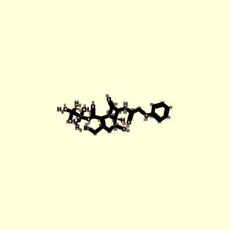 CC(C)(C)[Si](C)(C)OC(=O)C1=C(CBr)C[S+]([O-])[C@@H]2C(NC(=O)COc3ccccc3)C(=O)N12